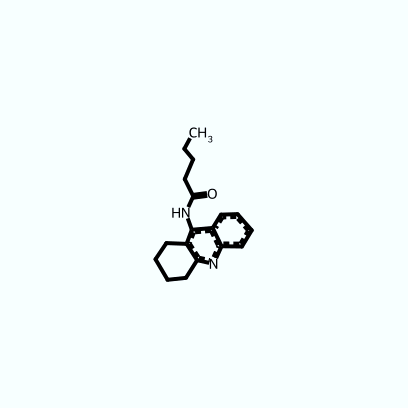 CCCCC(=O)Nc1c2c(nc3ccccc13)CCCC2